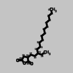 CCCCCCCCCCCCCC(CC)CCC1CC(=O)OC1=O